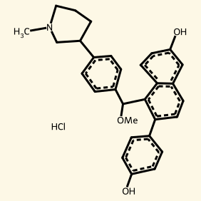 COC(c1ccc(C2CCCN(C)C2)cc1)c1c(-c2ccc(O)cc2)ccc2cc(O)ccc12.Cl